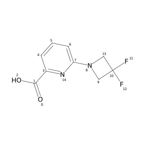 O=C(O)c1cccc(N2CC(F)(F)C2)n1